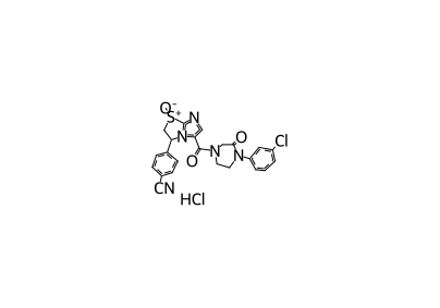 Cl.N#Cc1ccc(C2C[S+]([O-])c3ncc(C(=O)N4CCN(c5cccc(Cl)c5)C(=O)C4)n32)cc1